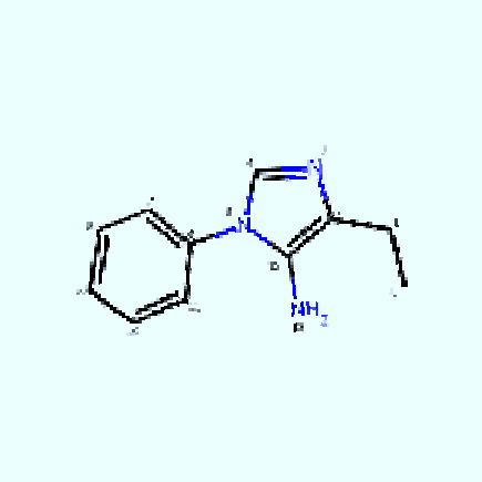 CCc1ncn(-c2ccccc2)c1N